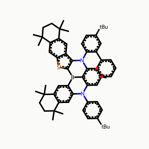 Cc1cc2c3c(c1)N(c1ccc(C(C)(C)C)cc1-c1ccccc1)c1c(sc4cc5c(cc14)C(C)(C)CCC5(C)C)B3c1cc3c(cc1N2c1ccc(C(C)(C)C)cc1)C(C)(C)CCC3(C)C